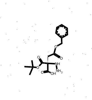 CC(C)(C)OC(=O)[C@@](CC(=O)OCc1ccccc1)(NN)C(=O)O